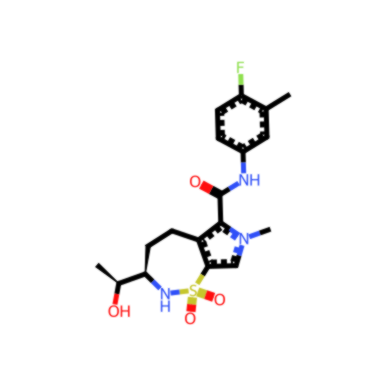 Cc1cc(NC(=O)c2c3c(cn2C)S(=O)(=O)N[C@@H]([C@H](C)O)CC3)ccc1F